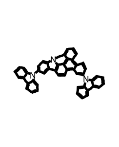 c1ccc2c(c1)c1ccccc1n2-c1ccc2c(c1)c1ccc3c4cc(-n5c6ccccc6c6ccccc65)ccc4n4c5cccc2c5c1c34